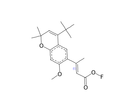 COc1cc2c(cc1/C(C)=C/C(=O)OF)C(C(C)(C)C)=CC(C)(C)O2